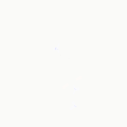 CCC(Nc1cc(F)c(S(=O)(=O)Nc2nccs2)cc1Cl)c1ccccc1C